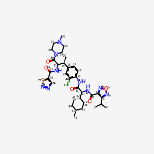 CC(C)c1nonc1C(=O)N[C@H](C(=O)Nc1ccc([C@H](C)C(NC(=O)c2cnns2)C(=O)N2CCN(C)CC2)cc1F)[C@H]1CC[C@H](C)CC1